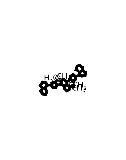 C[Si]1(C)c2cc(-c3cccc4ccccc34)ccc2-c2c1cc1c3c(cccc23)[Si](C)(C)c2cc(-c3cccc4ccccc34)ccc2-1